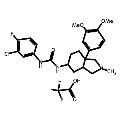 COc1ccc(C23CCC(NC(=O)Nc4ccc(F)c(Cl)c4)CC2CN(C)C3)cc1OC.O=C(O)C(F)(F)F